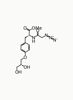 COC(=O)[C@H](Cc1ccc(OC[C@@H](O)CO)cc1)NC(=O)CN=[N+]=[N-]